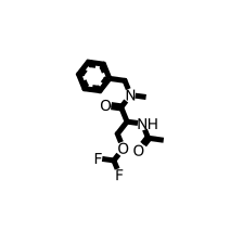 CC(=O)NC(COC(F)F)C(=O)N(C)Cc1ccccc1